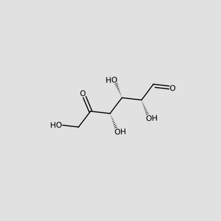 O=C[C@H](O)[C@@H](O)[C@H](O)C(=O)CO